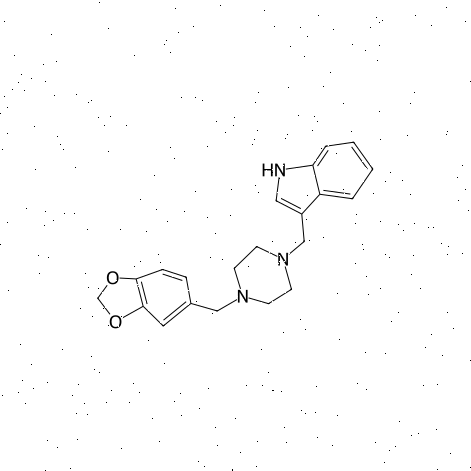 c1ccc2c(CN3CCN(Cc4ccc5c(c4)OCO5)CC3)c[nH]c2c1